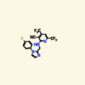 N#Cc1c(C(F)(F)F)cc(C(F)(F)F)nc1NCc1nccn1-c1ccc(F)cc1